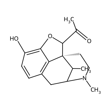 CC(=O)C1Oc2c(O)ccc3c2[C@@]12CCN(C)C(C3)C2C